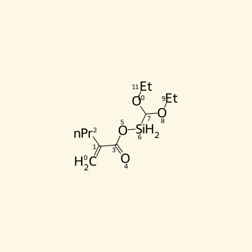 C=C(CCC)C(=O)O[SiH2]C(OCC)OCC